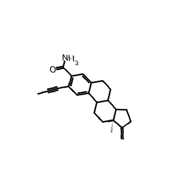 C=C1CCC2C3CCc4cc(C(N)=O)c(C#CC)cc4C3CC[C@]12C